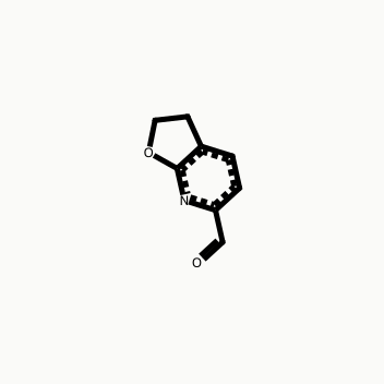 O=Cc1ccc2c(n1)OCC2